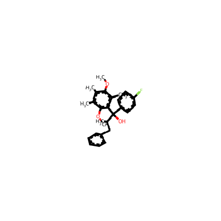 COc1c(C)c(C)c(OC)c(C(O)(c2ccc(F)cc2)C(C)Cc2ccccc2)c1C